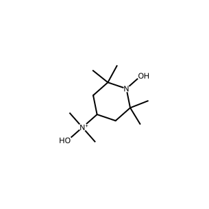 CC1(C)CC([N+](C)(C)O)CC(C)(C)N1O